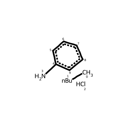 CCCCC.Cl.Nc1ccccc1